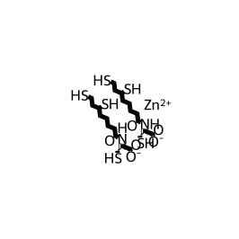 O=C(CCCCC(S)CCS)N[C@@H](CS)C(=O)[O-].O=C(CCCCC(S)CCS)N[C@@H](CS)C(=O)[O-].[Zn+2]